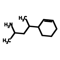 CC(N)CC(C)C1C=CCCC1